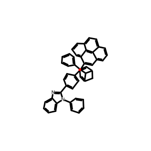 C1=CC2CC(=C1)C2C(c1ccccc1)(c1ccc(-c2nc3ccccc3n2-c2ccccc2)cc1)c1cc2cccc3ccc4cccc1c4c32